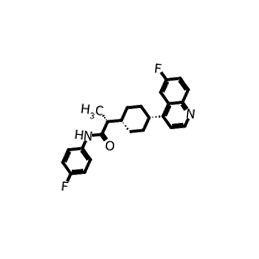 C[C@@H](C(=O)Nc1ccc(F)cc1)[C@H]1CC[C@@H](c2ccnc3ccc(F)cc32)CC1